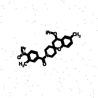 Cc1ccc2c(c1)C(OC(C)C)CC1(CCN(C(=O)c3ccc([S+]([O-])C(C)C)c(C)c3)CC1)O2